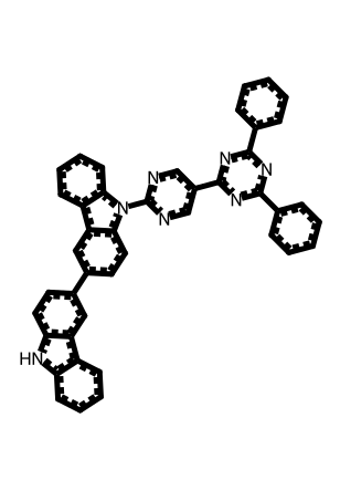 c1ccc(-c2nc(-c3ccccc3)nc(-c3cnc(-n4c5ccccc5c5cc(-c6ccc7[nH]c8ccccc8c7c6)ccc54)nc3)n2)cc1